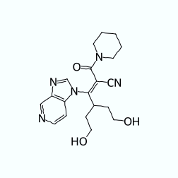 N#CC(C(=O)N1CCCCC1)=C(C(CCO)CCO)n1cnc2cnccc21